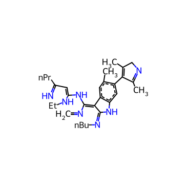 C=N/C(N/C(=C/C(=N)CCC)NCC)=C1\C(=N/CCCC)Nc2cc(C3=C(C)CN=C3C)c(C)cc21